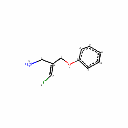 NCC(=CF)COc1ccccc1